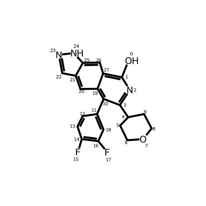 Oc1nc(C2CCOCC2)c(-c2ccc(F)c(F)c2)c2cc3cn[nH]c3cc12